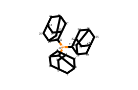 C1C2CC3CC1CC(C2)C3P(C1C2CC3CC(C2)CC1C3)C1C2CC3CC(C2)CC1C3